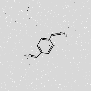 C=Cc1[c]cc(C=C)cc1